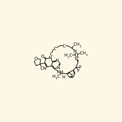 CC1CCCCCCn2c(=O)c(C3(C#N)CCOC3)cc3c(ncnc32)N[C@H](C)c2cccc(c2F)C(F)(F)C2CC(C)N1C(C)C2